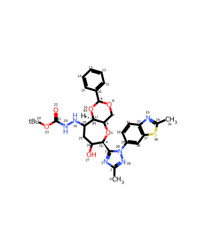 Cc1nc([C@@H]2OC3COC(c4ccccc4)O[C@@H]3C(NNC(=O)OC(C)(C)C)CC2O)n(-c2ccc3nc(C)sc3c2)n1